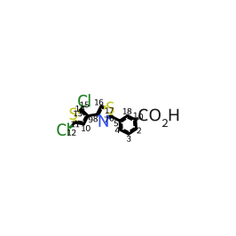 O=C(O)c1cccc(-c2nc(-c3cc(Cl)sc3Cl)cs2)c1